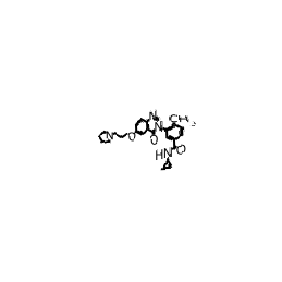 Cc1ccc(C(=O)NC2CC2)cc1-n1cnc2ccc(OCCCN3CCCC3)cc2c1=O